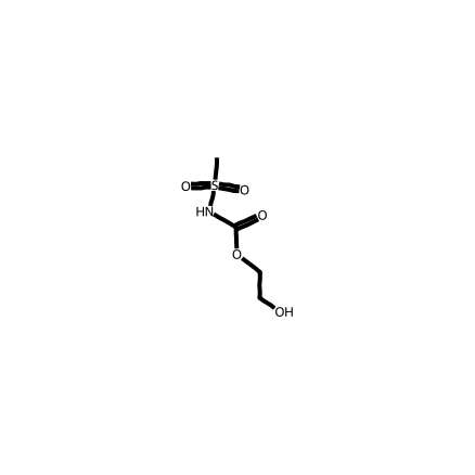 CS(=O)(=O)NC(=O)OCCO